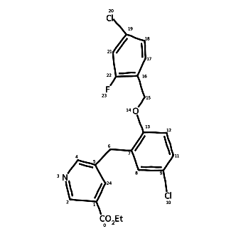 CCOC(=O)c1cncc(Cc2cc(Cl)ccc2OCc2ccc(Cl)cc2F)c1